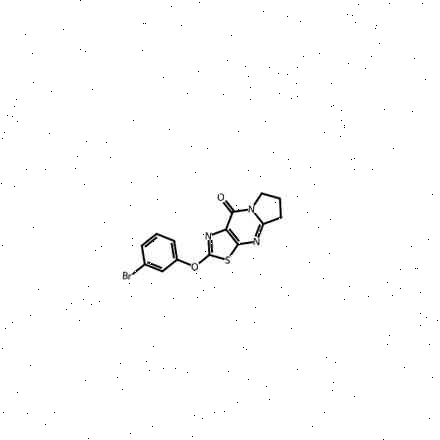 O=c1c2nc(Oc3cccc(Br)c3)sc2nc2n1CCC2